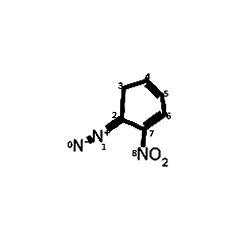 [N-]=[N+]=C1CC=CC=C1[N+](=O)[O-]